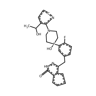 CC(O)c1cccnc1N1CC[P](O)(c2cc(Cc3n[nH]c(=O)c4ccccc34)ccc2F)CC1